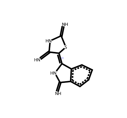 N=C1NC(=N)/C(=C2\NC(=N)c3ccccc32)S1